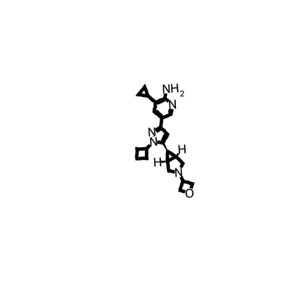 Nc1ncc(-c2cc([C@H]3[C@@H]4CN(C5COC5)C[C@@H]43)n(C3CCC3)n2)cc1C1CC1